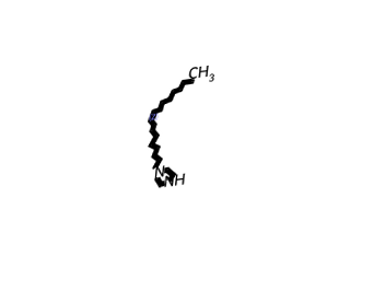 CCCCCCCC/C=C\CCCCCCCCN1CCNCC1